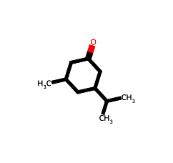 CC1CC(=O)CC(C(C)C)C1